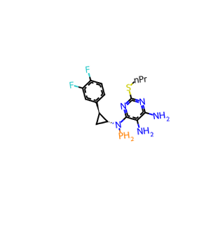 CCCSc1nc(N)c(N)c(N(P)[C@@H]2C[C@H]2c2ccc(F)c(F)c2)n1